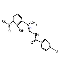 C/C(=N\NC(=O)c1ccc(Br)cc1)c1cccc([N+](=O)[O-])c1O